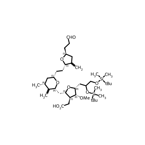 C=C1C[C@H](CCC=O)O[C@H]1CC[C@H]1C[C@@H](C)C(=C)[C@@H](C[C@@H]2O[C@H](CC(CO[Si](C)(C)C(C)(C)C)O[Si](C)(C)C(C)(C)C)[C@H](OC)[C@H]2CC(=O)O)O1